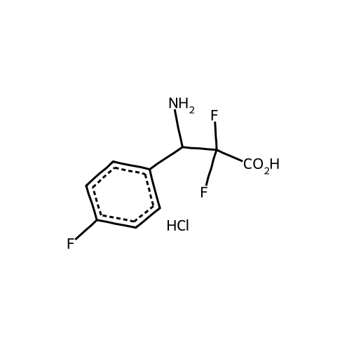 Cl.NC(c1ccc(F)cc1)C(F)(F)C(=O)O